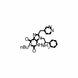 CCCCn1c(=O)[nH]c2c(nc(Cc3ccnnc3)n2CC(N)c2ccccc2)c1=O